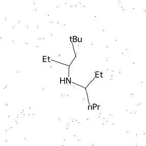 CCCC(CC)NC(CC)CC(C)(C)C